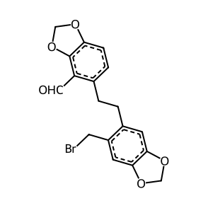 O=Cc1c(CCc2cc3c(cc2CBr)OCO3)ccc2c1OCO2